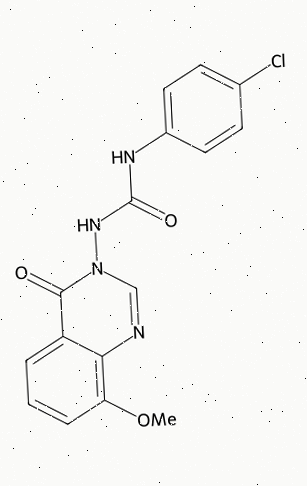 COc1cccc2c(=O)n(NC(=O)Nc3ccc(Cl)cc3)cnc12